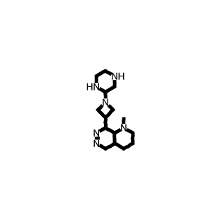 CN1CCCC2CN=NC(C3CN(C4CNCCN4)C3)C21